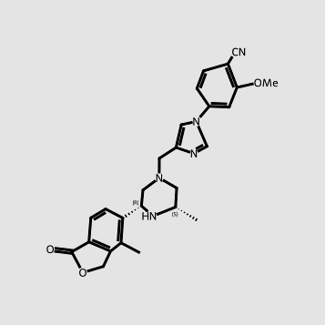 COc1cc(-n2cnc(CN3C[C@@H](c4ccc5c(c4C)COC5=O)N[C@@H](C)C3)c2)ccc1C#N